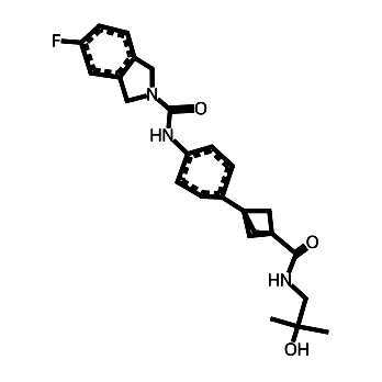 CC(C)(O)CNC(=O)C12CC(c3ccc(NC(=O)N4Cc5ccc(F)cc5C4)cc3)(C1)C2